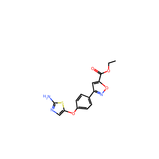 CCOC(=O)c1cc(-c2ccc(Oc3cnc(N)s3)cc2)no1